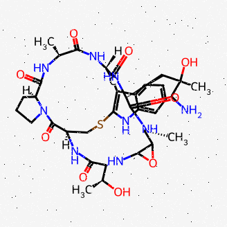 C[C@@H]1NC(=O)[C@@H]2CCCN2C(=O)[C@H]2CSc3[nH]c4ccccc4c3C[C@H](NC1=O)C(=O)N[C@@H](CC(C)(O)CN)C(=O)N[C@@H](C)C1OC1NC([C@H](C)O)C(=O)N2